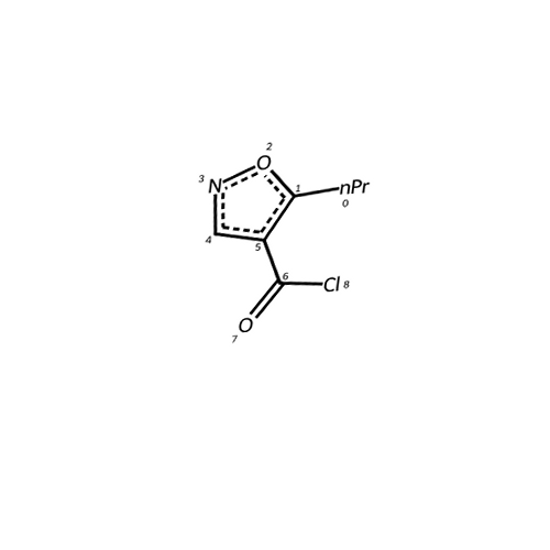 CCCc1oncc1C(=O)Cl